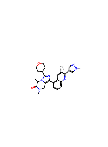 C[C@@H]1C(=O)N(C)Cc2c(-c3cccc4nc(-c5cnn(C)c5)c(C(F)(F)F)cc34)nc(C3CCOCC3)n21